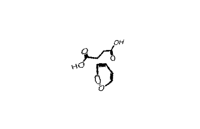 C1=COOC=C1.O=C(O)CCC(=O)O